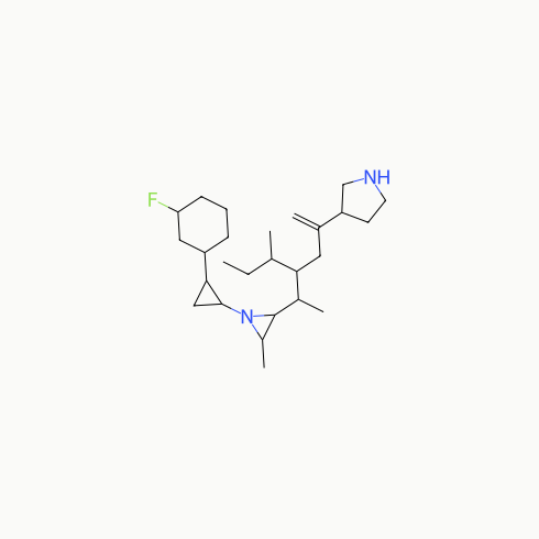 C=C(CC(C(C)CC)C(C)C1C(C)N1C1CC1C1CCCC(F)C1)C1CCNC1